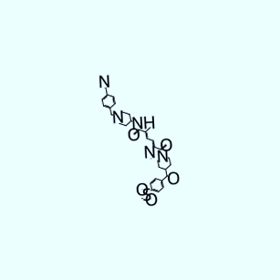 C=N/C(=C\C=C(/C)C(=O)NC1CCN(Cc2ccc(C#N)cc2)CC1)C(=O)N1CCC(C(=O)c2ccc(S(C)(=O)=O)cc2)CC1